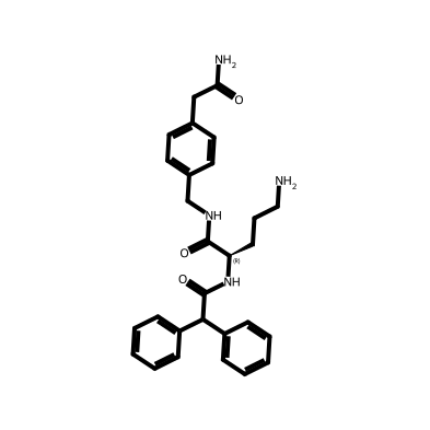 NCCC[C@@H](NC(=O)C(c1ccccc1)c1ccccc1)C(=O)NCc1ccc(CC(N)=O)cc1